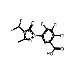 Cc1nn(-c2cc(C(=O)O)c(Cl)c(Cl)c2F)c(=O)n1C(F)F